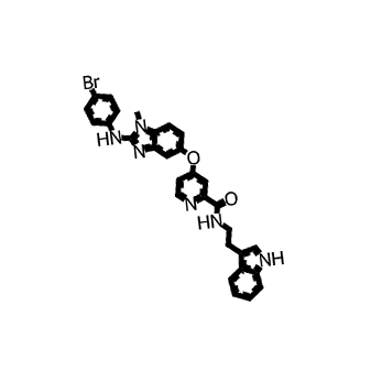 Cn1c(Nc2ccc(Br)cc2)nc2cc(Oc3ccnc(C(=O)NCCc4c[nH]c5ccccc45)c3)ccc21